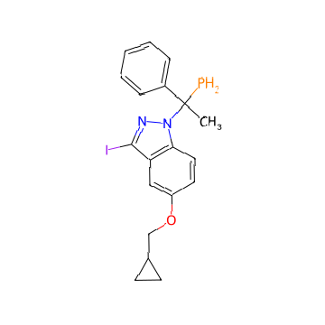 CC(P)(c1ccccc1)n1nc(I)c2cc(OCC3CC3)ccc21